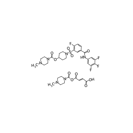 CN1CCN(C(=O)OC(=O)/C=C/C(=O)O)CC1.CN1CCN(C(=O)OC2CCN(S(=O)(=O)c3cc(C(=O)Nc4cc(F)c(F)c(F)c4)ccc3F)CC2)CC1